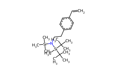 C=Cc1ccc(CCN([Si](C)(C)C)[Si](C)(C(C)(C)C)C(C)(C)C)cc1